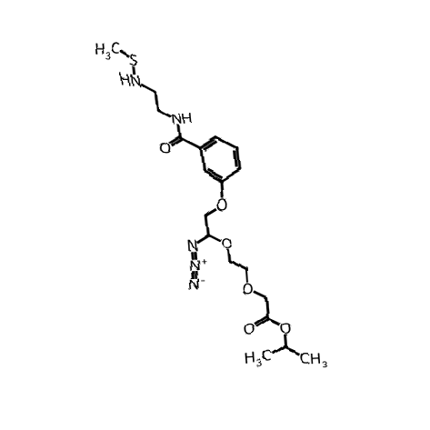 CSNCCNC(=O)c1cccc(OCC(N=[N+]=[N-])OCCOCC(=O)OC(C)C)c1